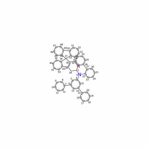 C1=CC(N(c2cc(-c3ccccc3)cc(-c3ccccc3)c2)c2ccccc2-c2ccccc2)CC2=C1C1(c3ccccc32)c2ccccc2-c2ccccc21